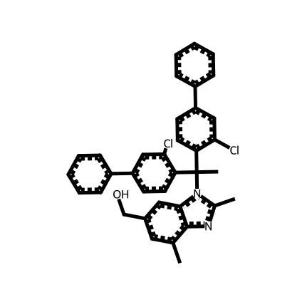 Cc1cc(CO)cc2c1nc(C)n2C(C)(c1ccc(-c2ccccc2)cc1Cl)c1ccc(-c2ccccc2)cc1Cl